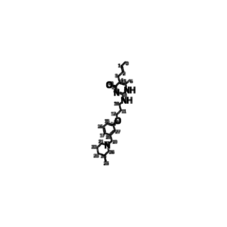 C/C=C/Cc1c(C)[nH]c(NCCCOc2cccc(CN3CCC[C@H](C)C3)c2)nc1=O